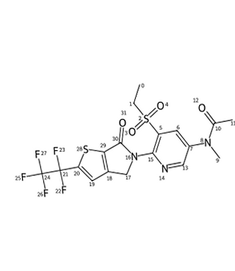 CCS(=O)(=O)c1cc(N(C)C(C)=O)cnc1N1Cc2cc(C(F)(F)C(F)(F)F)sc2C1=O